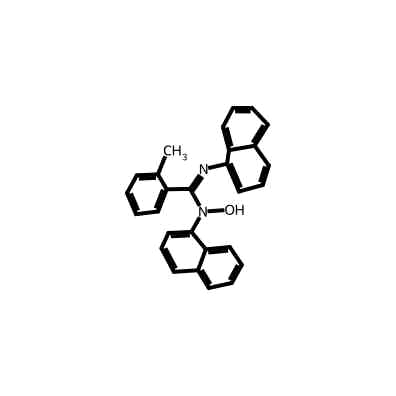 Cc1ccccc1C(=Nc1cccc2ccccc12)N(O)c1cccc2ccccc12